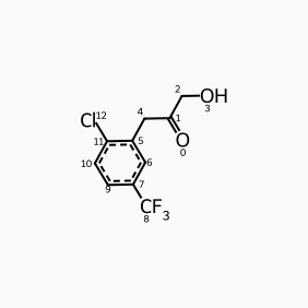 O=C(CO)Cc1cc(C(F)(F)F)ccc1Cl